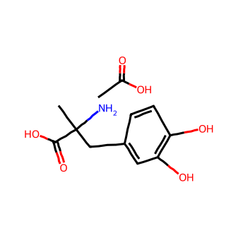 CC(=O)O.CC(N)(Cc1ccc(O)c(O)c1)C(=O)O